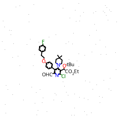 CCOC(=O)C(OC(C)(C)C)c1c(Cl)nc(C=O)c(-c2ccc(OCCc3ccc(F)cc3)cc2)c1N1CCC(C)(C)CC1